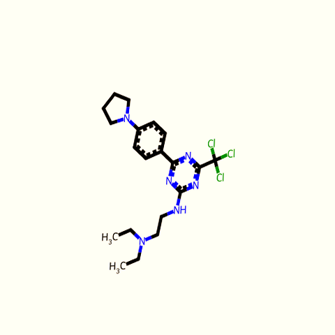 CCN(CC)CCNc1nc(-c2ccc(N3CCCC3)cc2)nc(C(Cl)(Cl)Cl)n1